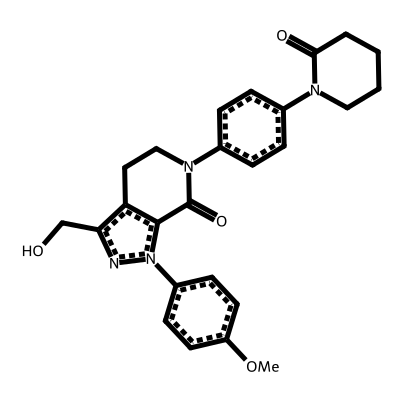 COc1ccc(-n2nc(CO)c3c2C(=O)N(c2ccc(N4CCCCC4=O)cc2)CC3)cc1